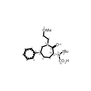 COCCN1C[C@H](c2ccccc2)CC[C@@H](N(C(=O)O)C(C)(C)C)C1=O